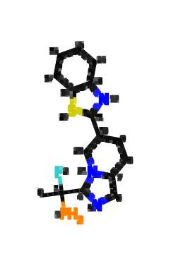 CC(F)(P)c1ncc2ccc(-c3nc4ccccc4s3)cn12